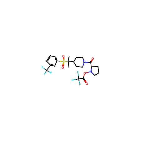 CC(C)(C1CCN(C(=O)[C@@H]2CCCN2OC(=O)C(F)(F)F)CC1)S(=O)(=O)c1cccc(C(F)(F)F)c1